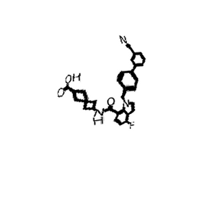 N#Cc1cccc(-c2ccc(Cn3ccc4c(F)ccc(C(=O)NC5CC6(C5)CC(C(=O)O)C6)c43)cc2)c1